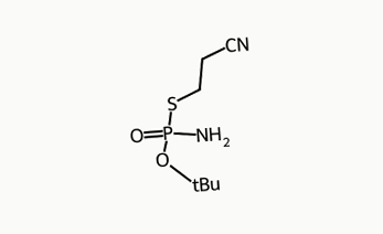 CC(C)(C)OP(N)(=O)SCCC#N